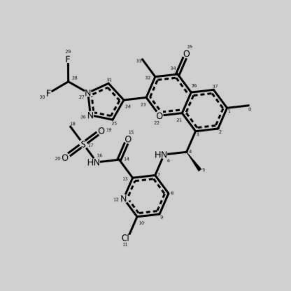 Cc1cc([C@@H](C)Nc2ccc(Cl)nc2C(=O)NS(C)(=O)=O)c2oc(-c3cnn(C(F)F)c3)c(C)c(=O)c2c1